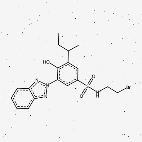 CCC(C)c1cc(S(=O)(=O)NCCBr)cc(-n2nc3ccccc3n2)c1O